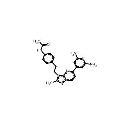 CC(=O)Nc1ccc(CCn2c(C)nc3ccc(-c4cc(N)nc(N)c4)nc32)cc1